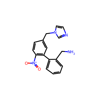 NCc1ccccc1-c1cc(Cn2ccnc2)ccc1[N+](=O)[O-]